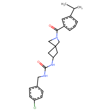 CC(C)c1cccc(C(=O)N2CC3(CC(NC(=O)NCc4ccc(Cl)cc4)C3)C2)c1